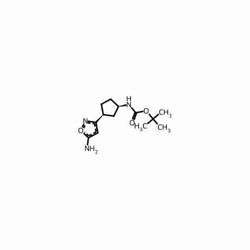 CC(C)(C)OC(=O)N[C@@H]1CC[C@H](c2cc(N)on2)C1